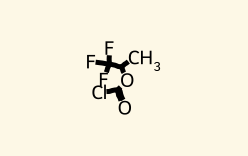 CC(OC(=O)Cl)C(F)(F)F